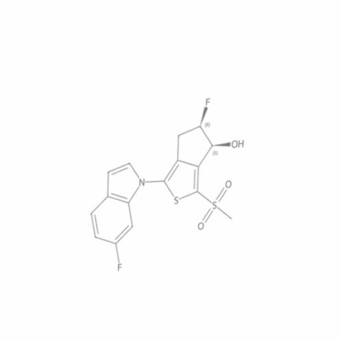 CS(=O)(=O)c1sc(-n2ccc3ccc(F)cc32)c2c1[C@H](O)[C@H](F)C2